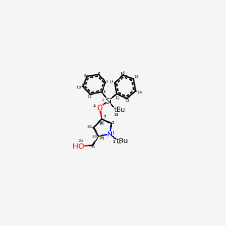 CC(C)(C)N1C[C@H](O[Si](c2ccccc2)(c2ccccc2)C(C)(C)C)C[C@@H]1CO